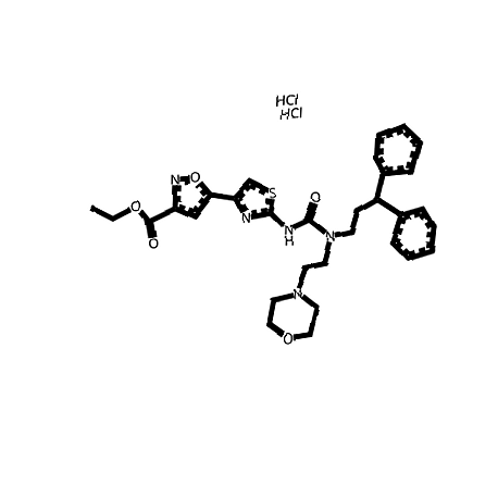 CCOC(=O)c1cc(-c2csc(NC(=O)N(CCC(c3ccccc3)c3ccccc3)CCN3CCOCC3)n2)on1.Cl.Cl